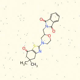 CC1(C)CC(=O)c2sc(N3CCOC(CN4C(=O)c5ccccc5C4=O)C3)nc2C1